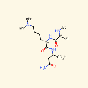 CCCN(CCC)CCCC[C@H](NC(=O)[C@@H](NCC)C(C)C)C(=O)NC(CC(N)=O)C(=O)O